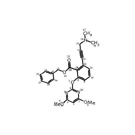 COc1cc(OC)nc(Oc2cccc(C#CCN(C)C)c2C(=O)OCc2ccccc2)n1